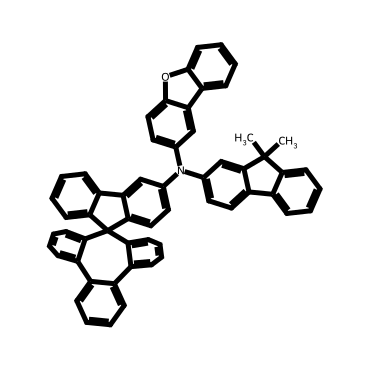 CC1(C)c2ccccc2-c2ccc(N(c3ccc4c(c3)-c3ccccc3C43c4ccccc4-c4ccccc4-c4ccccc43)c3ccc4oc5ccccc5c4c3)cc21